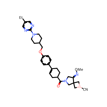 CCc1cnc(N2CCC(COc3ccc(C4=CCC(C(=O)N5C/C(=N\OC)C6(CB(C#N)C6)C5)CC4)cc3)CC2)nc1